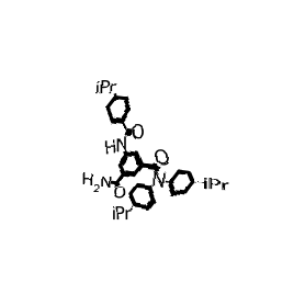 CC(C)[C@H]1CC[C@@H](C(=O)Nc2cc(C(N)=O)cc(C(=O)N([C@H]3CC[C@@H](C(C)C)CC3)[C@H]3CC[C@@H](C(C)C)CC3)c2)CC1